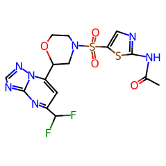 CC(=O)Nc1ncc(S(=O)(=O)N2CCOC(c3cc(C(F)F)nc4ncnn34)C2)s1